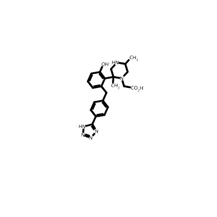 CC1CN(CC(=O)O)C(C)(c2c(O)cccc2Cc2ccc(-c3nnn[nH]3)cc2)CN1